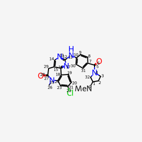 CNC1CCN(C(=O)c2ccc(Nc3ncc4c(n3)-c3ccc(Cl)cc3N(C)C(=O)C4)cc2)C1